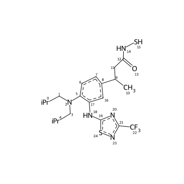 CC(C)CN(CC(C)C)c1ccc(C(C)CC(=O)NS)cc1Nc1nc(C(F)(F)F)ns1